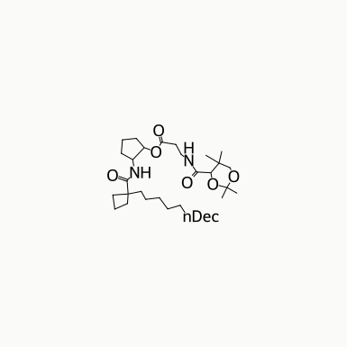 CCCCCCCCCCCCCCCC1(C(=O)NC2CCCC2OC(=O)CCNC(=O)C2OC(C)(C)OCC2(C)C)CCC1